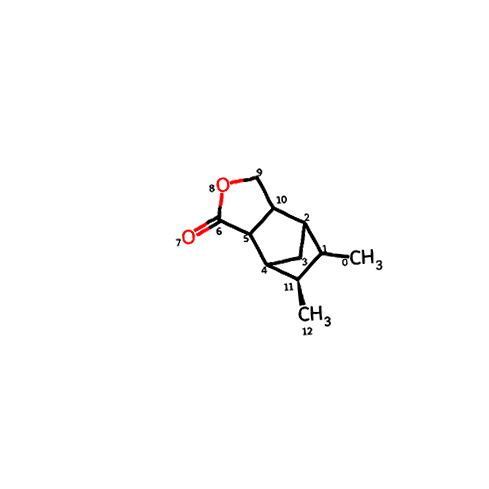 CC1C2CC(C3C(=O)OCC23)[C@@H]1C